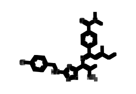 CC/C(C)=C/C(=N\C(=C(/C)N)c1nnc(NCc2ccc(Cl)cc2)o1)c1ccc(C(=O)N(C)C)cc1